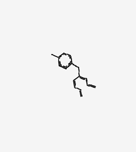 C=C/C=C\C(=C/C=C)Cc1ccc(C)cc1